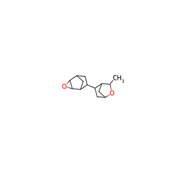 CC1OC2CC1C(C1CC3CC1C1OC31)C2